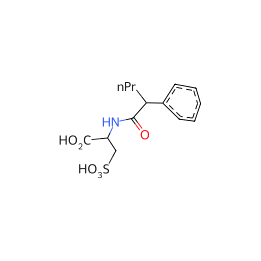 CCCC(C(=O)NC(CS(=O)(=O)O)C(=O)O)c1ccccc1